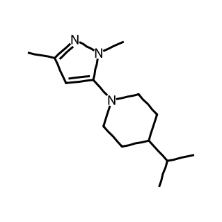 Cc1cc(N2CCC(C(C)C)CC2)n(C)n1